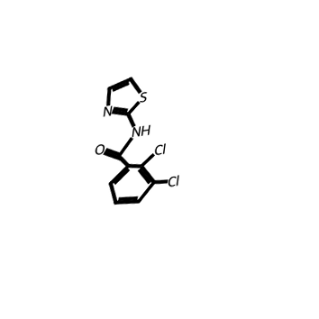 O=C(Nc1nccs1)c1cccc(Cl)c1Cl